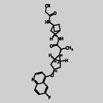 CC(C(=O)N[C@@H]1CC2(NC(=O)CC#N)CC1C2)[C@H]1[C@@H]2C[C@@H](Oc3ccnc4ccc(F)cc34)C[C@@H]21